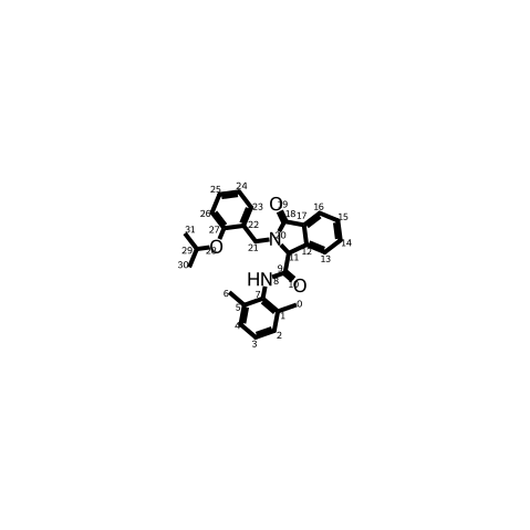 Cc1cccc(C)c1NC(=O)C1c2ccccc2C(=O)N1Cc1ccccc1OC(C)C